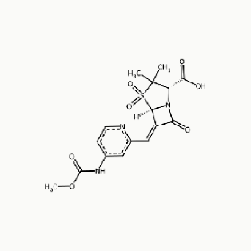 COC(=O)Nc1ccnc(/C=C2/C(=O)N3[C@@H](C(=O)O)C(C)(C)S(=O)(=O)[C@H]23)c1